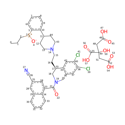 CCC[S+]([O-])c1ccccc1C1CCN(CC[C@H](CN(C)C(=O)c2cc(C#N)cc3ccccc23)c2ccc(Cl)c(Cl)c2)CC1.O=C(O)CC(O)(CC(=O)O)C(=O)O